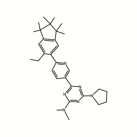 CCc1cc2c(cc1-c1ccc(-c3nc(N(C)C)nc(N4CCCC4)n3)cn1)C(C)(C)C(C)(C)C2(C)C